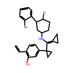 C=Cc1ccc(C2(C(NC3CCC(CC)C(c4ccccc4C(C)C)C3)=C3CC3)CC2)cc1O